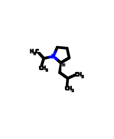 CC(C)C[C@@H]1CCCN1C(C)C